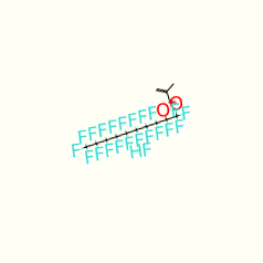 C=C(C)C(=O)OC(F)(C(F)(F)F)C(F)(F)C(F)(F)C(F)(F)C(F)(F)C(F)(F)C(F)(F)C(F)(F)C(F)(F)F.F